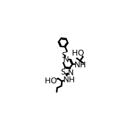 CCCC(CO)Nc1nc2c(s1)CN(SCc1ccccc1)C=C2NC(C)(C)CO